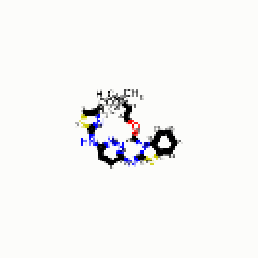 CCOC(=O)c1csc(Nc2ccc(N=c3sc4ccccc4n3COCC[Si](C)(C)C)nn2)n1